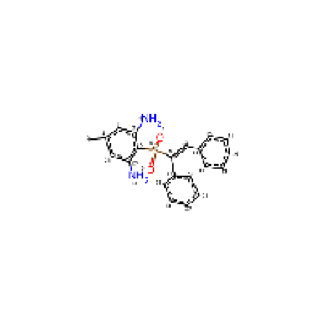 Cc1cc(N)c(S(=O)(=O)C(=Cc2ccccc2)c2ccccc2)c(N)c1